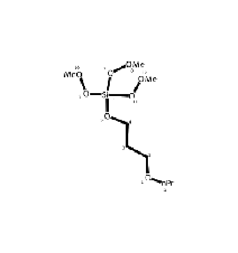 CCCOCCCO[Si](OOC)(OOC)OOC